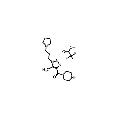 Cc1c(C(=O)N2CCNCC2)nnn1CCCN1CCCC1.O=C(O)C(F)(F)F